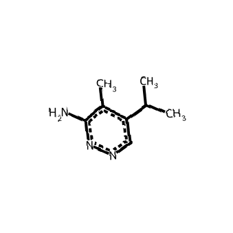 Cc1c(C(C)C)cnnc1N